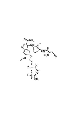 C#CC[C@H](N)C(=O)NCc1cccc(Nc2c(C(N)=O)cnc3cc(OCC)c(OCC)cc23)c1CC.O=C(O)C(F)(F)F.O=C(O)C(F)(F)F